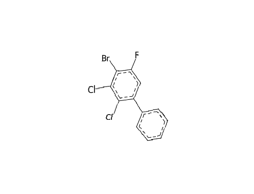 Fc1cc(-c2ccccc2)c(Cl)c(Cl)c1Br